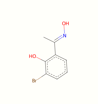 C/C(=N\O)c1cccc(Br)c1O